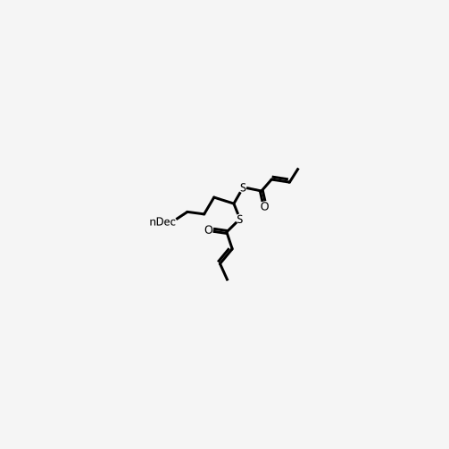 CC=CC(=O)SC(CCCCCCCCCCCCC)SC(=O)C=CC